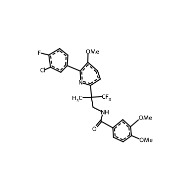 COc1ccc(C(=O)NCC(C)(c2ccc(OC)c(-c3ccc(F)c(Cl)c3)n2)C(F)(F)F)cc1OC